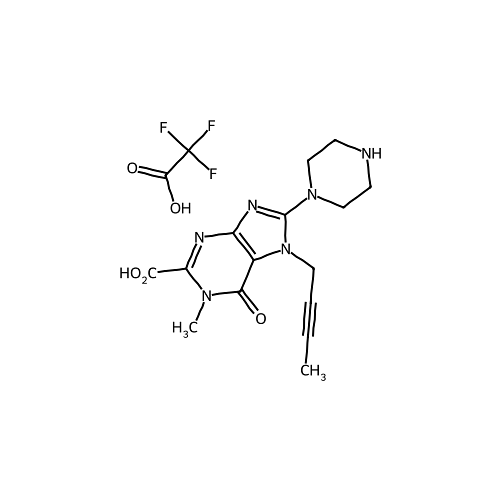 CC#CCn1c(N2CCNCC2)nc2nc(C(=O)O)n(C)c(=O)c21.O=C(O)C(F)(F)F